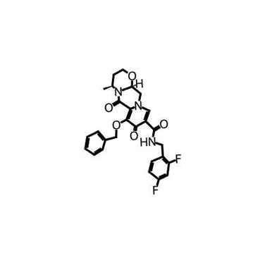 C[C@H]1CCO[C@H]2Cn3cc(C(=O)NCc4ccc(F)cc4F)c(=O)c(OCc4ccccc4)c3C(=O)N21